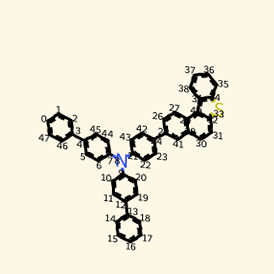 c1ccc(-c2ccc(N(c3ccc(-c4ccccc4)cc3)c3ccc(-c4ccc5c(ccc6sc7ccccc7c65)c4)cc3)cc2)cc1